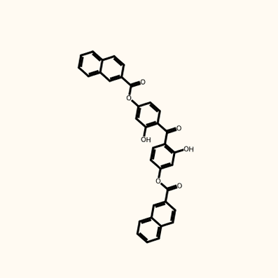 O=C(Oc1ccc(C(=O)c2ccc(OC(=O)c3ccc4ccccc4c3)cc2O)c(O)c1)c1ccc2ccccc2c1